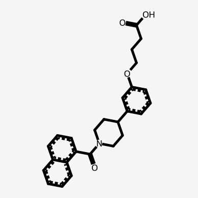 O=C(O)CCCOc1cccc(C2CCN(C(=O)c3cccc4ccccc34)CC2)c1